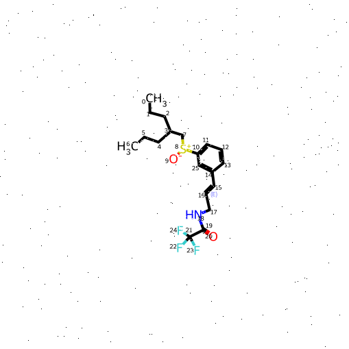 CCCC(CCC)C[S+]([O-])c1cccc(/C=C/CNC(=O)C(F)(F)F)c1